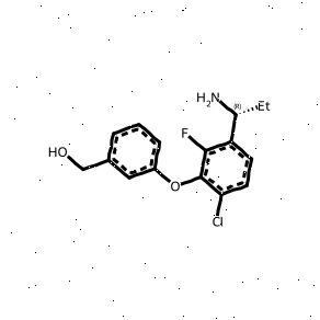 CC[C@@H](N)c1ccc(Cl)c(Oc2cccc(CO)c2)c1F